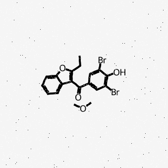 CCc1oc2ccccc2c1C(=O)c1cc(Br)c(O)c(Br)c1.COC